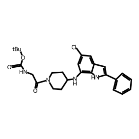 CC(C)(C)OC(=O)NCC(=O)N1CCC(Nc2cc(Cl)cc3cc(-c4ccccc4)[nH]c23)CC1